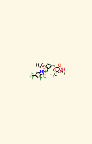 COc1ccc(C[C@H](OC(C)C)C(=O)O)cc1CNC(=O)c1ccc(C(F)(F)F)cc1F